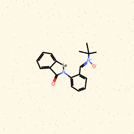 CC(C)(C)[N+]([O-])=Cc1ccccc1-n1[se]c2ccccc2c1=O